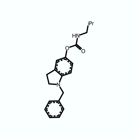 CC(C)CNC(=O)Oc1ccc2c(c1)CCN2Cc1ccccc1